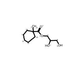 CC1(C(=O)OCC(O)CO)CCCCC1